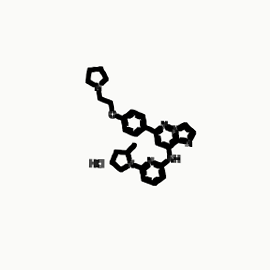 CC1CCCN1c1cccc(Nc2cc(-c3ccc(OCCN4CCCC4)cc3)nn3ccnc23)n1.Cl